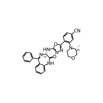 C[C@@H]1COCCN1c1cc(C#N)ccc1-c1nnc(N[C@H]2N=C(c3ccccc3)c3ccccc3NC2=O)o1